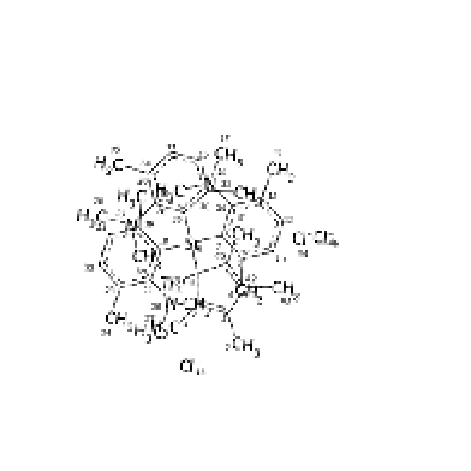 CC1=C(C)[C]([Ti+3])([Si](c2c(C)ccc(C)c2N(C)C)(c2c(C)ccc(C)c2N(C)C)c2c(C)ccc(C)c2N(C)C)C(C)=C1C.[Cl-].[Cl-].[Cl-]